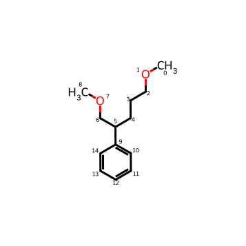 COCCCC(COC)c1ccccc1